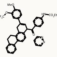 CCOC(=O)Nc1ccc(C(=O)C2C=C(c3ccc(OC)c(OC(F)(F)F)c3)Cc3c2ccc2c3CCc3ccccc3-2)cc1.c1ccnnc1